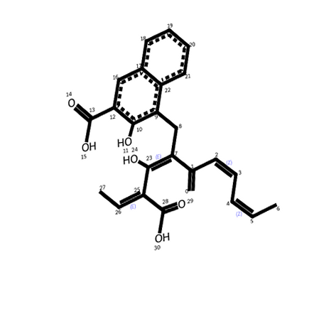 C=C(/C=C\C=C/C)/C(Cc1c(O)c(C(=O)O)cc2ccccc12)=C(O)\C(=C/C)C(=O)O